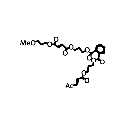 COCCCOC(=O)/C=C/C(=O)OCCCOC(=O)c1ccccc1C(=O)OCCCOC(=O)/C=C/C(C)=O